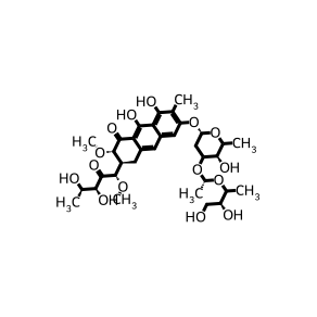 CO[C@@H]1C(=O)c2c(cc3cc(O[C@H]4CC(O[C@@H](C)OC(C)[C@@H](O)CO)[C@H](O)C(C)O4)c(C)c(O)c3c2O)C[C@H]1[C@H](OC)C(=O)[C@@H](O)[C@@H](C)O